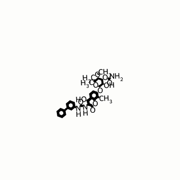 CO[C@@H]1[C@@H](OC(N)=O)[C@@H](O)[C@H](Oc2ccc3c(O)c(NC(=O)Nc4cccc(-c5ccccc5)c4)c(=O)oc3c2C)OC1(C)C